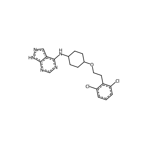 Clc1cccc(Cl)c1CCOC1CCC(Nc2ncnc3[nH]ncc23)CC1